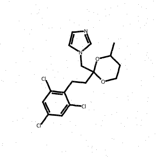 CC1CCOC(CCc2c(Cl)cc(Cl)cc2Cl)(Cn2ccnc2)O1